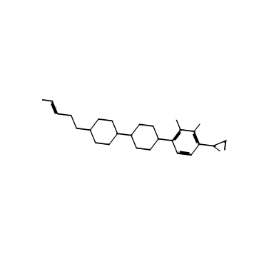 C/C=C/CCC1CCC(C2CCC(c3ccc(C4CO4)c(F)c3Cl)CC2)CC1